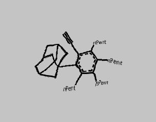 C#Cc1c(CCCCC)c(CCCCC)c(CCCCC)c(CCCCC)c1C12CC3CC(CC(C3)C1)C2